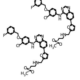 CS(=O)(=O)CCNCc1ccc(-c2ccc3ncnc(Nc4ccc(OCc5cccc(F)c5)c(Cl)c4)c3c2)o1.CS(=O)(=O)CCNCc1ccc(-c2ccc3ncnc(Nc4ccc(OCc5cccc(F)c5)c(Cl)c4)c3c2)o1